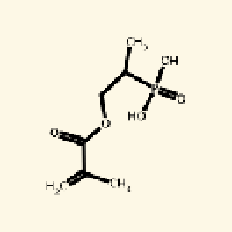 C=C(C)C(=O)OCC(C)P(=O)(O)O